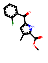 COC(=O)c1[nH]c(C(=O)c2ccccc2F)cc1C